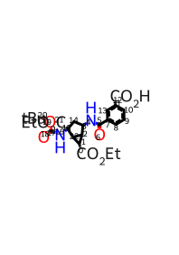 CCOC(=O)C1C2C(NC(=O)c3cccc(C(=O)O)c3)CC(NC(=O)OC(C)(C)C)(C(=O)OCC)C12